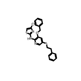 Cc1csc(Nc2ncc(SCCc3ccccc3)cc2OCc2ccccc2)n1